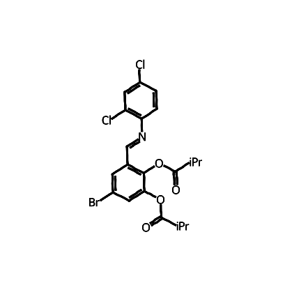 CC(C)C(=O)Oc1cc(Br)cc(C=Nc2ccc(Cl)cc2Cl)c1OC(=O)C(C)C